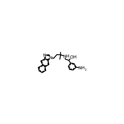 CC(C)(CCn1cnc2cc3ccccc3cc21)NCC(O)c1cccc(N)c1